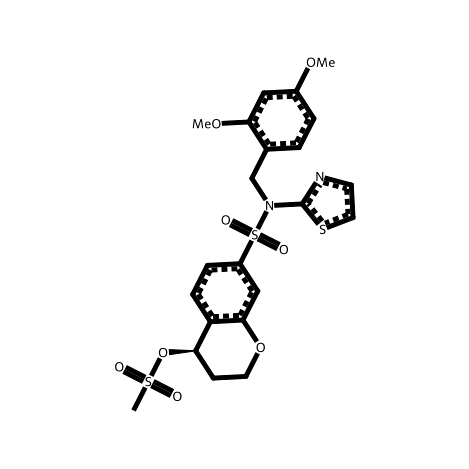 COc1ccc(CN(c2nccs2)S(=O)(=O)c2ccc3c(c2)OCC[C@H]3OS(C)(=O)=O)c(OC)c1